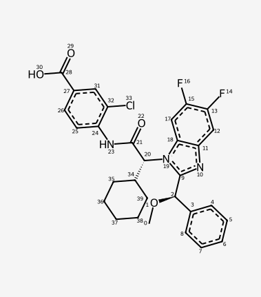 CO[C@H](c1ccccc1)c1nc2cc(F)c(F)cc2n1[C@@H](C(=O)Nc1ccc(C(=O)O)cc1Cl)C1CCCCC1